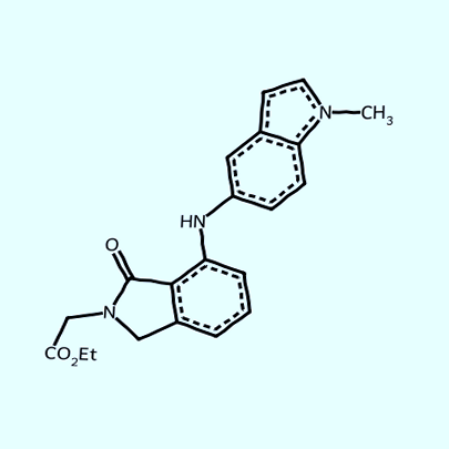 CCOC(=O)CN1Cc2cccc(Nc3ccc4c(ccn4C)c3)c2C1=O